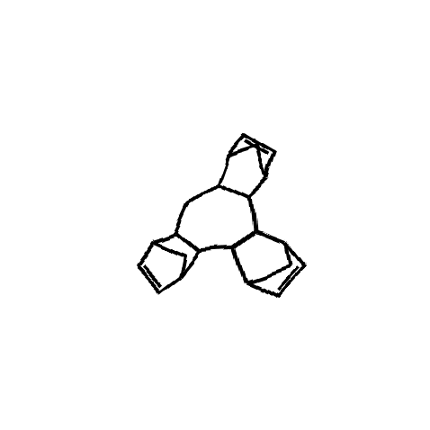 C1=CC2CC1C1CC3C4C=CC(C4)C3C3C4C=CC(C4)C3C21